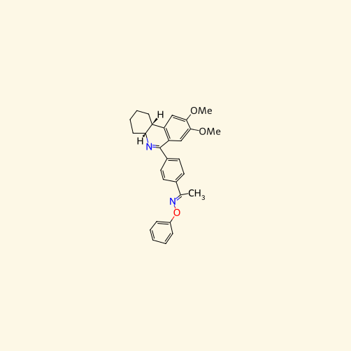 COc1cc2c(cc1OC)[C@H]1CCCC[C@H]1N=C2c1ccc(/C(C)=N/Oc2ccccc2)cc1